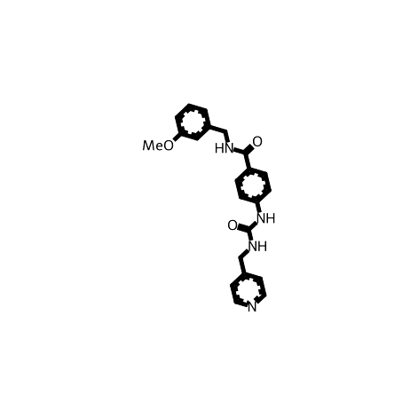 COc1cccc(CNC(=O)c2ccc(NC(=O)NCc3ccncc3)cc2)c1